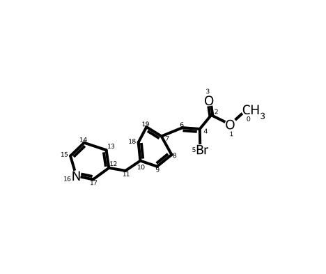 COC(=O)C(Br)=Cc1ccc(Cc2cccnc2)cc1